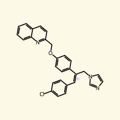 Clc1ccc(/C=C(/Cn2ccnc2)c2ccc(OCc3ccc4ccccc4n3)cc2)cc1